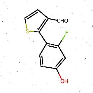 O=Cc1ccsc1-c1ccc(O)cc1F